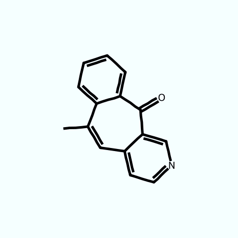 Cc1cc2ccncc2c(=O)c2ccccc12